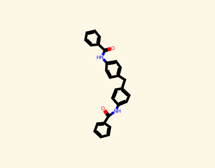 O=C(Nc1ccc(Cc2ccc(NC(=O)c3ccccc3)cc2)cc1)c1ccccc1